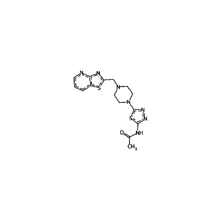 CC(=O)Nc1nnc(N2CCN(Cc3nc4ncccc4s3)CC2)s1